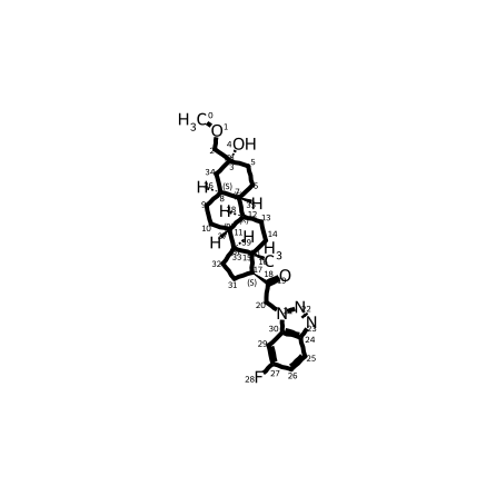 COC[C@@]1(O)CC[C@H]2[C@@H](CC[C@@H]3[C@@H]2CC[C@]2(C)[C@@H](C(=O)Cn4nnc5ccc(F)cc54)CC[C@@H]32)C1